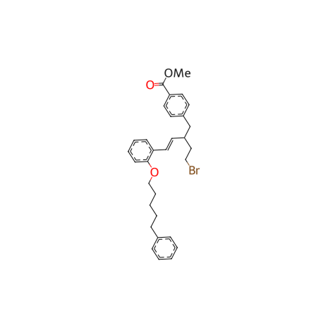 COC(=O)c1ccc(CC(/C=C/c2ccccc2OCCCCCc2ccccc2)CCBr)cc1